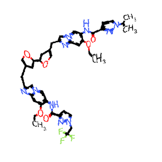 CCOc1cc2nc(CC3COC(C4CC(Cc5cn6cc(NC(=O)c7ccn(C(C)C)n7)c(OCC)cc6n5)CO4)C3)cn2cc1NC(=O)c1ccn(CC(F)(F)F)n1